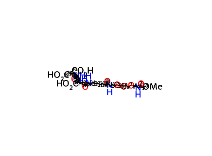 COCC(=O)NCCOCCOCCOCCNC(=O)CCCCCCCNC(=O)CCC(NC(=O)NC(CCC(=O)O)C(=O)O)C(=O)O